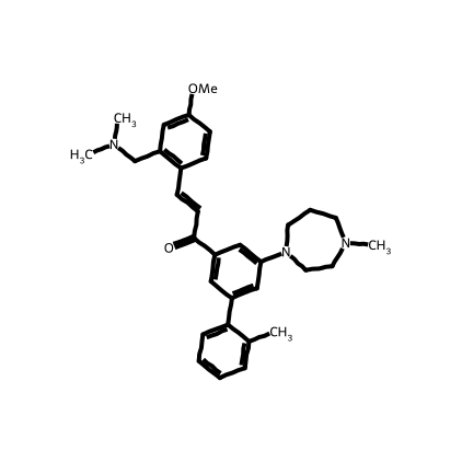 COc1ccc(C=CC(=O)c2cc(-c3ccccc3C)cc(N3CCCN(C)CC3)c2)c(CN(C)C)c1